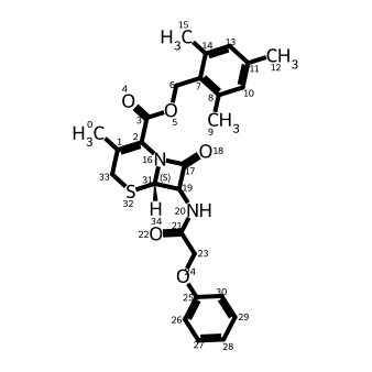 CC1=C(C(=O)OCc2c(C)cc(C)cc2C)N2C(=O)C(NC(=O)COc3ccccc3)[C@@H]2SC1